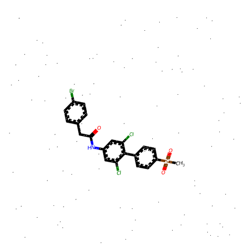 CS(=O)(=O)c1ccc(-c2c(Cl)cc(NC(=O)Cc3ccc(Br)cc3)cc2Cl)cc1